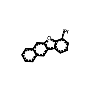 CC(C)c1cccc2c1oc1cc3ccccc3cc12